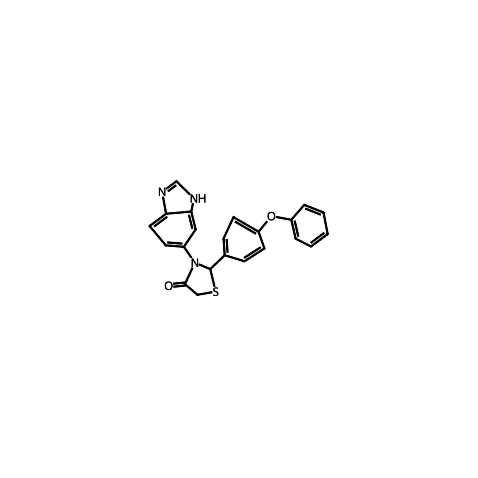 O=C1CSC(c2ccc(Oc3ccccc3)cc2)N1c1ccc2nc[nH]c2c1